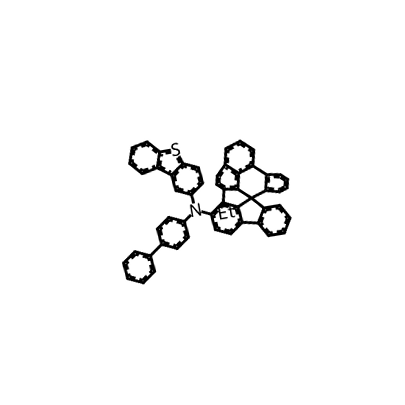 CCc1ccc2cccc3c2c1C1(c2ccccc2-c2ccc(N(c4ccc(-c5ccccc5)cc4)c4ccc5sc6ccccc6c5c4)cc21)c1ccccc1-3